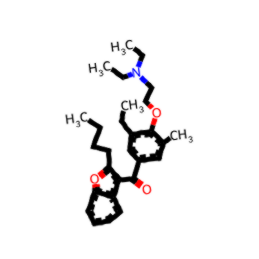 CCCCc1oc2ccccc2c1C(=O)c1cc(C)c(OCCN(CC)CC)c(CC)c1